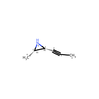 CC#C[C@H]1N[C@H]1C